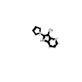 N#Cc1c(N2CC=CC2)[nH]c2cccnc12